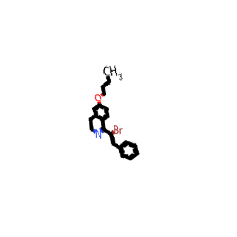 CCCCOc1ccc2c(c1)CCN=C2/C(Br)=C/c1ccccc1